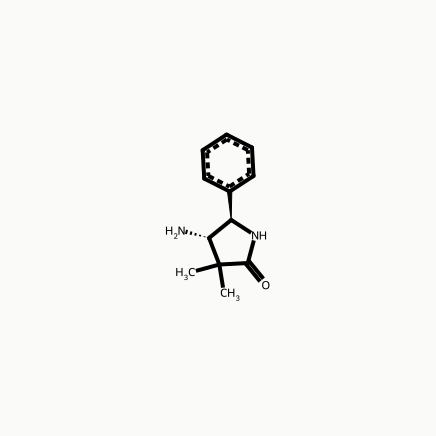 CC1(C)C(=O)N[C@H](c2ccccc2)[C@H]1N